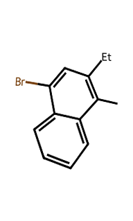 CCc1cc(Br)c2ccccc2c1C